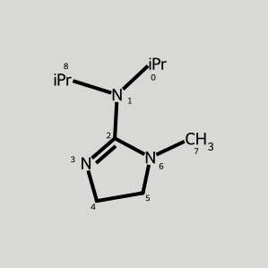 CC(C)N(C1=NCCN1C)C(C)C